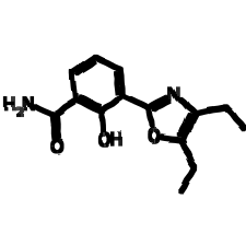 CCc1nc(-c2cccc(C(N)=O)c2O)oc1CC